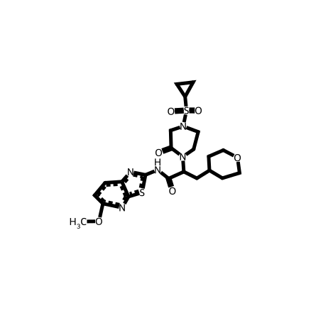 COc1ccc2nc(NC(=O)C(CC3CCOCC3)N3CCN(S(=O)(=O)C4CC4)CC3=O)sc2n1